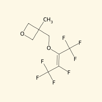 CC1(COC(=C(F)C(F)(F)F)C(F)(F)F)COC1